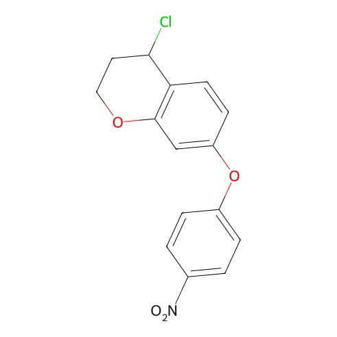 O=[N+]([O-])c1ccc(Oc2ccc3c(c2)OCCC3Cl)cc1